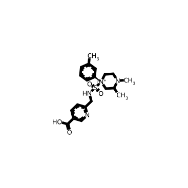 Cc1cccc([N@@+]2(S(=O)(=O)NCc3ccc(C(=O)O)cn3)CCN(C)C(C)C2)c1